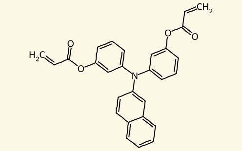 C=CC(=O)Oc1cccc(N(c2cccc(OC(=O)C=C)c2)c2ccc3ccccc3c2)c1